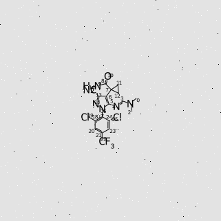 CN(C)C=Nc1c(C2(C(N)=O)CC2)c(C#N)nn1-c1c(Cl)cc(C(F)(F)F)cc1Cl